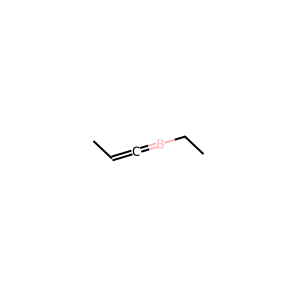 CC=C=BCC